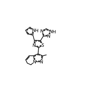 Cc1nn2c(c1-c1nc(-c3ccc[nH]3)c(-c3nc[nH]n3)s1)C=CCC2